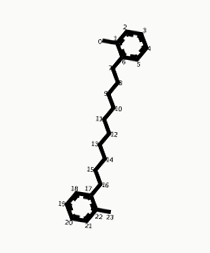 Cc1ccccc1CCCCCCCCCCc1ccccc1C